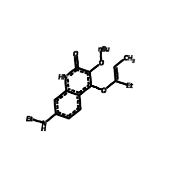 CC=C(CC)Oc1c(OCCCC)c(=O)[nH]c2cc(NCC)ccc12